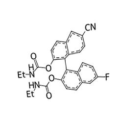 [CH2]CNC(=O)Oc1ccc2cc(F)ccc2c1-c1c(OC(=O)NC[CH2])ccc2cc(C#N)ccc12